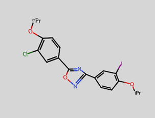 CCCOc1ccc(-c2nc(-c3ccc(OC(C)C)c(I)c3)no2)cc1Cl